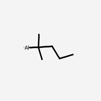 CCC[C](C)(C)[Al]